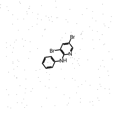 Brc1cnc(Nc2ccccc2)c(Br)c1